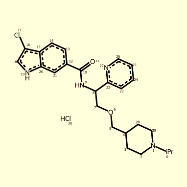 CC(C)N1CCC(COCC(NC(=O)c2ccc3c(Cl)c[nH]c3c2)c2ccccn2)CC1.Cl